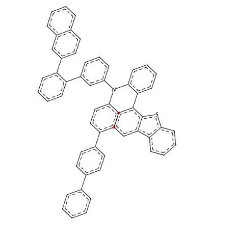 c1ccc(-c2ccc(-c3ccc(N(c4cccc(-c5ccccc5-c5ccc6ccccc6c5)c4)c4ccccc4-c4cccc5c4sc4ccccc45)cc3)cc2)cc1